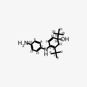 CC(C)(C)C1=C(Nc2ccc(N)cc2)C=CC(O)(C(C)(C)C)C1